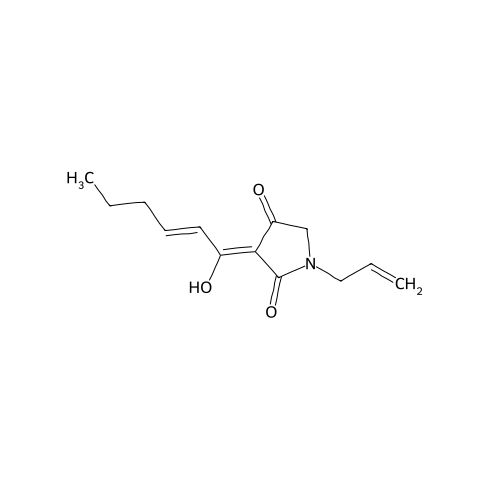 C=CCN1CC(=O)C(=C(O)C=CCCC)C1=O